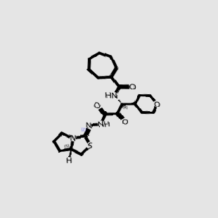 O=C(N/N=C1\SC[C@@H]2CCCN12)C(=O)[C@H](NC(=O)C1CCCCCC1)C1CCOCC1